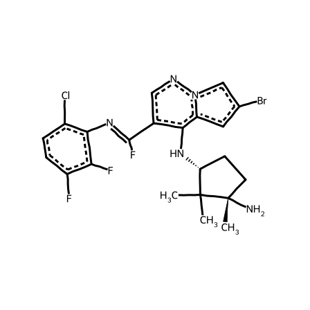 CC1(C)[C@H](Nc2c(/C(F)=N/c3c(Cl)ccc(F)c3F)cnn3cc(Br)cc23)CC[C@]1(C)N